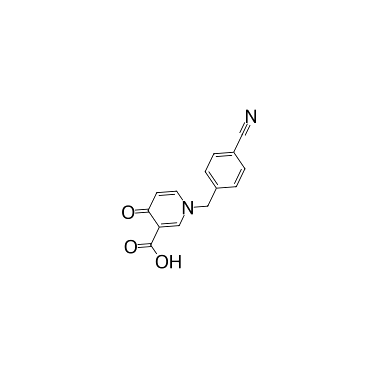 N#Cc1ccc(Cn2ccc(=O)c(C(=O)O)c2)cc1